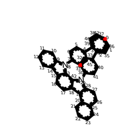 c1ccc(-c2ccc(-n3c4ccccc4c4ccc5c6c7ccccc7ccc6n(-c6ccc(-c7ccccc7)cc6)c5c43)cc2)cc1